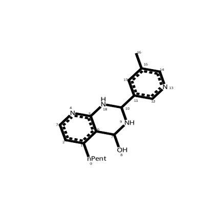 CCCCCc1ccnc2c1C(O)NC(c1cncc(C)c1)N2